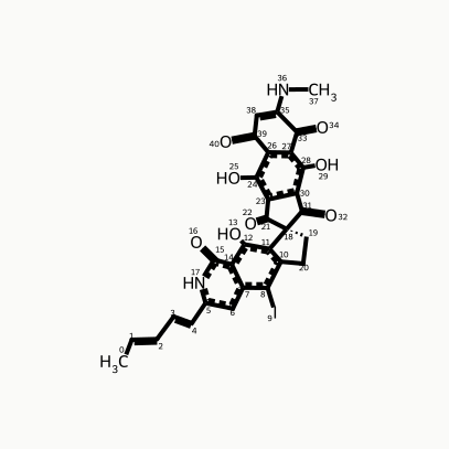 C/C=C/C=C/c1cc2c(I)c3c(c(O)c2c(=O)[nH]1)[C@@]1(CC3)C(=O)c2c(O)c3c(c(O)c2C1=O)C(=O)C(NC)=CC3=O